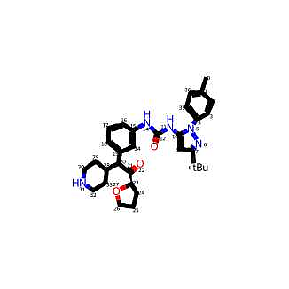 Cc1ccc(-n2nc(C(C)(C)C)cc2NC(=O)Nc2cccc(C(C(=O)[C@H]3CCCO3)C3CCNCC3)c2)cc1